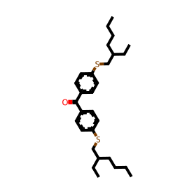 CCCCC(CC)CSc1ccc(C(=O)c2ccc(SCC(CC)CCCC)cc2)cc1